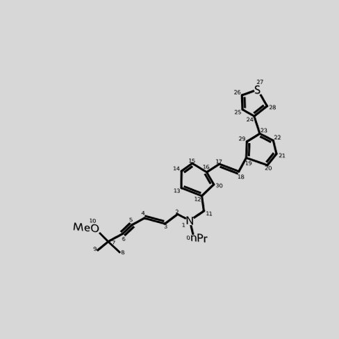 CCCN(C/C=C/C#CC(C)(C)OC)Cc1cccc(/C=C/c2cccc(-c3ccsc3)c2)c1